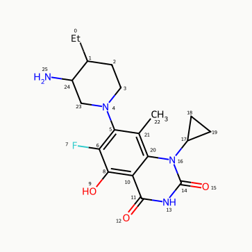 CCC1CCN(c2c(F)c(O)c3c(=O)[nH]c(=O)n(C4CC4)c3c2C)CC1N